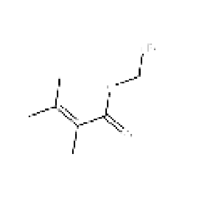 CCCCCCOC(=O)C(C)=C(C)C